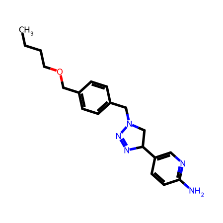 CCCCOCc1ccc(CN2CC(c3ccc(N)nc3)N=N2)cc1